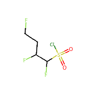 O=S(=O)(Cl)C(F)C(F)CCF